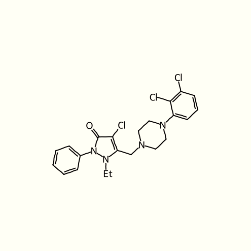 CCn1c(CN2CCN(c3cccc(Cl)c3Cl)CC2)c(Cl)c(=O)n1-c1ccccc1